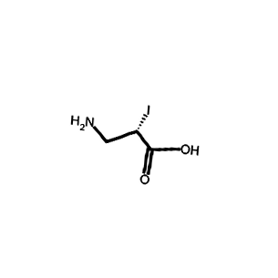 NC[C@H](I)C(=O)O